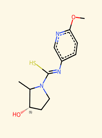 COc1ccc(N=C(S)N2CC[C@H](O)C2C)cn1